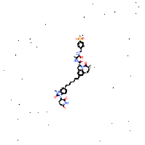 C[C@H](NC(=O)[C@@H]1Cc2cc(CCCCCCc3ccc4c(c3)n(C)c(=O)n4C3CCC(=O)NC3=O)cc3c2N1C(=O)[C@@H](C)CC3)C(=O)NCc1ccc(S(C)(=O)=O)cc1